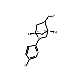 O=C(O)N1C[C@@H]2C[C@H]1CN2c1ccc(Cl)cn1